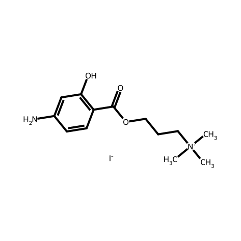 C[N+](C)(C)CCCOC(=O)c1ccc(N)cc1O.[I-]